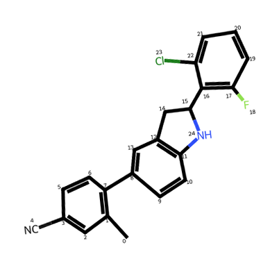 Cc1cc(C#N)ccc1-c1ccc2c(c1)CC(c1c(F)cccc1Cl)N2